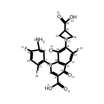 Nc1cc(-n2cc(C(=O)O)c(=O)c3cc(F)c(N4CC(C(=O)O)C4)c(Cl)c32)c(F)cc1F